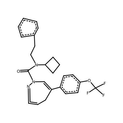 O=C(N1C=C(c2ccc(OC(F)(F)F)cc2)CC=C=N1)N(CCc1ccccc1)C1CCC1